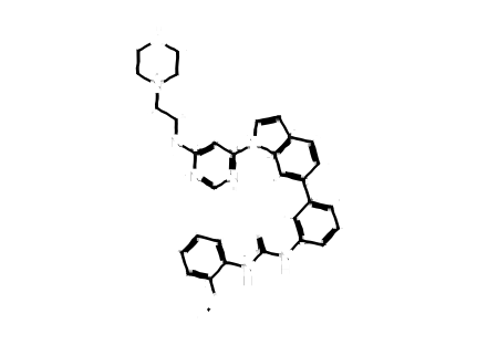 COc1ccccc1NC(=O)Nc1cccc(-c2ccc3ccn(-c4cc(NCCN5CCOCC5)ncn4)c3c2)c1